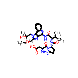 CCOCc1nc2c(NC(=O)C(NC(=O)[C@@H]3CCCN3C(=O)[C@@H](N)CC(=O)O)C(C)C)nc3ccccc3c2n1CC(C)(C)O